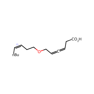 CCCC/C=C\CCOCC=C=CCC(=O)O